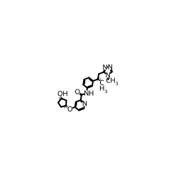 C[C@H](Cc1nncn1C)c1cccc(NC(=O)c2cc(O[C@@H]3CC[C@H](O)C3)ccn2)c1